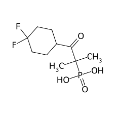 CC(C)(C(=O)C1CCC(F)(F)CC1)P(=O)(O)O